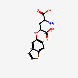 NC(CC(Oc1ccc2sccc2c1)C(=O)O)C(=O)O